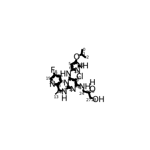 CC(C)Oc1cc(Nc2nc(N[C@@H](C)c3ccc(F)cn3)nc(NCC(O)CO)c2Cl)n[nH]1